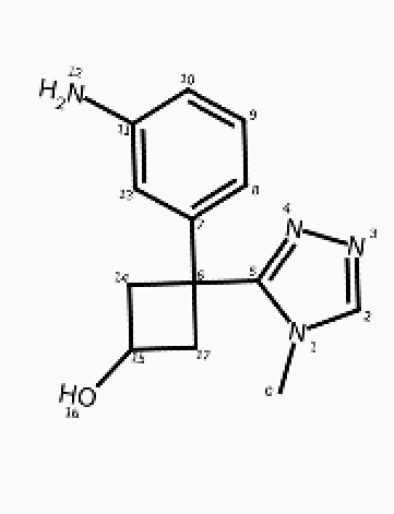 Cn1cnnc1C1(c2cccc(N)c2)CC(O)C1